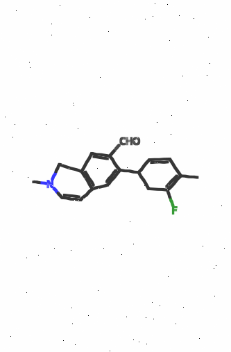 CC1=C(F)CC(c2cc3c(cc2C=O)CN(C)C=C3)C=C1